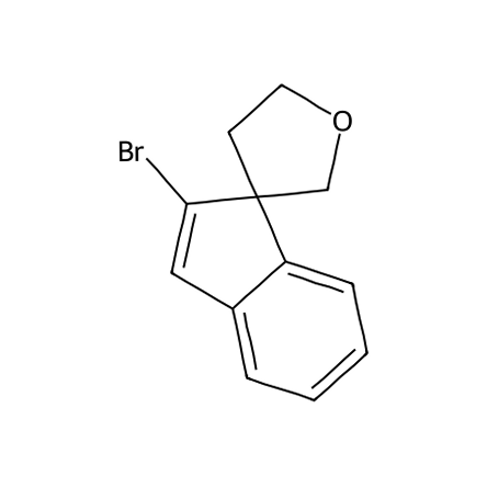 BrC1=Cc2ccccc2C12CCOC2